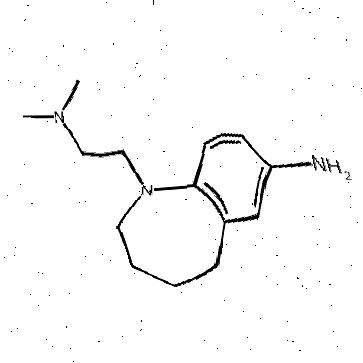 CN(C)CCN1CCCCc2cc(N)ccc21